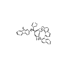 c1ccc(N(c2ccc3c(c2)sc2ccccc23)c2ccc3c4c2Oc2ccc5cccc(c5c2S4)-c2c(ccc4ccccc24)N3)cc1